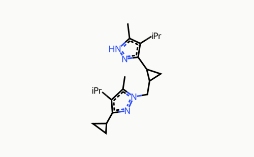 Cc1[nH]nc(C2CC2Cn2nc(C3CC3)c(C(C)C)c2C)c1C(C)C